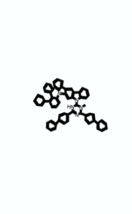 CN1C(c2ccc(-c3ccccc3)cc2)N=C(c2ccc(-c3ccccc3)cc2)NC1n1c2ccccc2c2cc3c4ccccc4n(-c4cccc(-c5ccccc5)c4-c4ccccc4)c3cc21